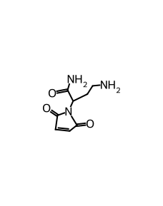 NCCC(C(N)=O)N1C(=O)C=CC1=O